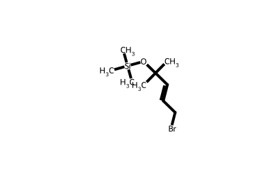 CC(C)(/C=C/CBr)O[Si](C)(C)C